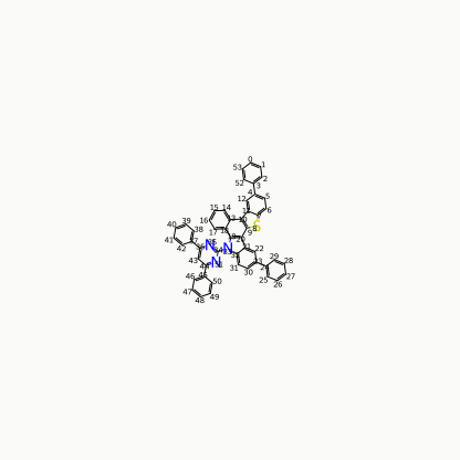 c1ccc(-c2ccc3sc4c(c3c2)c2ccccc2c2c4c3cc(-c4ccccc4)ccc3n2-c2nc(-c3ccccc3)cc(-c3ccccc3)n2)cc1